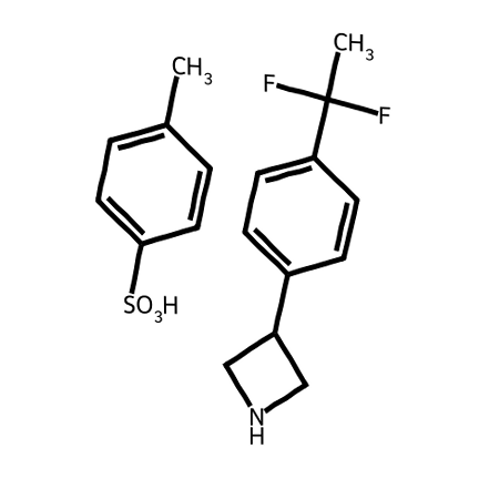 CC(F)(F)c1ccc(C2CNC2)cc1.Cc1ccc(S(=O)(=O)O)cc1